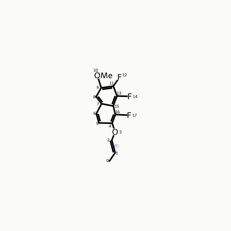 C/C=C/Oc1ccc2cc(OC)c(F)c(F)c2c1F